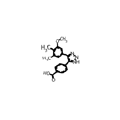 COc1cc(-c2nn[nH]c2-c2ccc(C(=O)O)cc2)cc(C)c1C